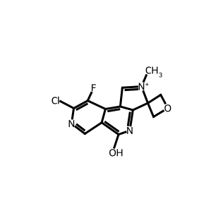 C[N+]1=Cc2c(nc(O)c3cnc(Cl)c(F)c23)C12COC2